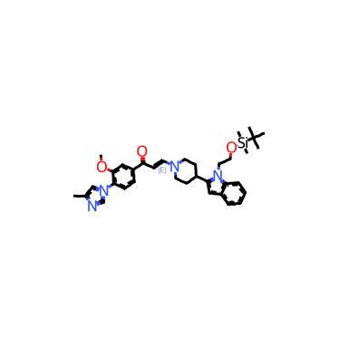 COc1cc(C(=O)/C=C/N2CCC(c3cc4ccccc4n3CCO[Si](C)(C)C(C)(C)C)CC2)ccc1-n1cnc(C)c1